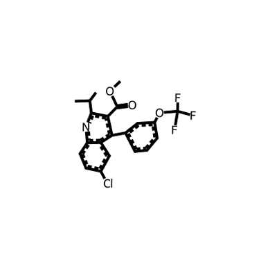 COC(=O)c1c(C(C)C)nc2ccc(Cl)cc2c1-c1cccc(OC(F)(F)F)c1